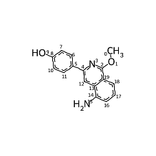 COc1nc(-c2ccc(O)cc2)cc2c(N)cccc12